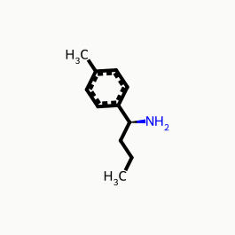 CCC[C@H](N)c1ccc(C)cc1